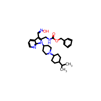 CC(C)C1CCC(N2CCC(n3c(CNC(=O)OCc4ccccc4)c(/C=N\O)c4cccnc43)CC2)CC1